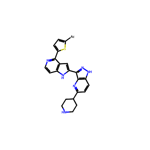 CC(=O)c1ccc(-c2nccc3[nH]c(-c4n[nH]c5ccc(C6CCNCC6)nc45)cc23)s1